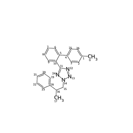 Cc1ccc(-c2ccccc2-c2nnn(CC(C)c3ccccc3)n2)cc1